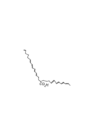 C=CCCC/C=C/C=C/C=C/C=C/CCC(CCC/C=C/C=C/C=C/C=C/C)C(=O)O